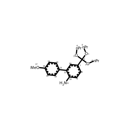 CCCOC(OCCC)(OCCC)c1ccc(N)c(-c2ccc(OC)cc2)c1